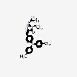 CCN1C(=O)/C(=C\c2ccc(N(c3ccc(C)cc3)c3ccc(C)cc3)cc2)O/C1=N/C(C)C